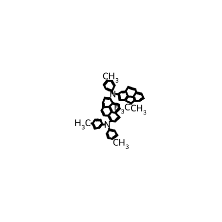 Cc1ccc(N(c2ccc(C)cc2)c2ccc3ccc4c(N(c5ccc(C)cc5)c5cc6c7c(ccc8cccc(c87)C6(C)C)c5)ccc5ccc2c3c54)cc1